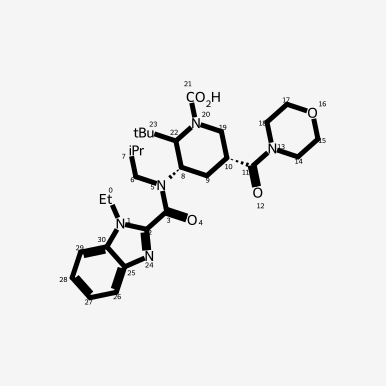 CCn1c(C(=O)N(CC(C)C)[C@H]2C[C@@H](C(=O)N3CCOCC3)CN(C(=O)O)C2C(C)(C)C)nc2ccccc21